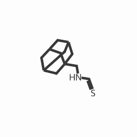 S=CNCC12CC3CC(CC(C3)C1)C2